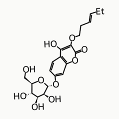 CC/C=C/CCOc1c(O)c2ccc(O[C@H]3O[C@H](CO)[C@@H](O)[C@H](O)[C@@H]3O)cc2oc1=O